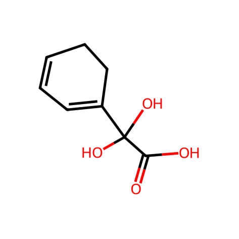 O=C(O)C(O)(O)C1=CC=CCC1